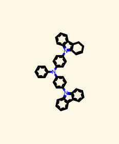 C1=Cc2c(c3ccccc3n2-c2ccc(N(c3ccccc3)c3ccc(-n4c5ccccc5c5ccccc54)cc3)cc2)CC1